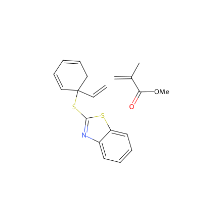 C=C(C)C(=O)OC.C=CC1(Sc2nc3ccccc3s2)C=CC=CC1